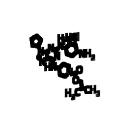 CC(C)COC(=O)N1CCC(Nc2nc(N[C@H]3CC[C@H](N)CC3)nc3c2ncn3C2CCCC2)CC1.Cl.Cl